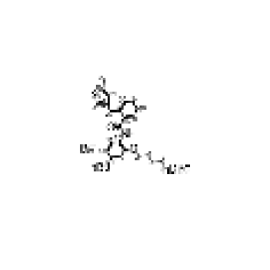 CCCCCCCCCCCCCCOc1cc(C(C)(C)C)ccc1NC(=O)c1ccccc1C[n+]1csc(C)c1.[Br-]